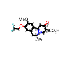 COc1cc2c(cc1OCC(F)F)C[C@@H](C(C)C)n1cc(C(=O)O)c(=O)cc1-2